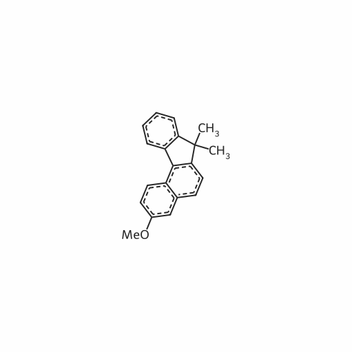 COc1ccc2c3c(ccc2c1)C(C)(C)c1ccccc1-3